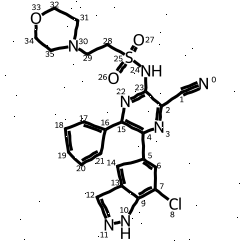 N#Cc1nc(-c2cc(Cl)c3[nH]ncc3c2)c(-c2ccccc2)nc1NS(=O)(=O)CCN1CCOCC1